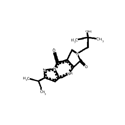 CC(C)c1cc2[nH]c3c(c(=O)n2n1)CN(CC(C)(C)O)C3=O